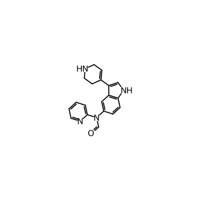 O=CN(c1ccc2[nH]cc(C3=CCNCC3)c2c1)c1ccccn1